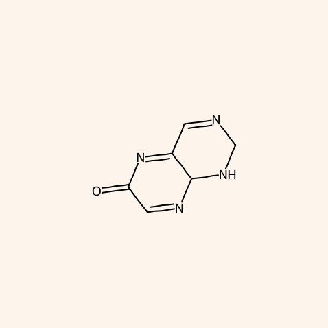 O=C1C=NC2NCN=CC2=N1